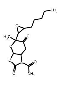 CCCCCC1OC1C1(C)OC2OC(=O)N(C(N)=O)C2CC1=O